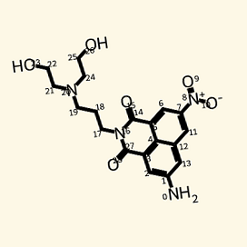 Nc1cc2c3c(cc([N+](=O)[O-])cc3c1)C(=O)N(CCCN(CCO)CCO)C2=O